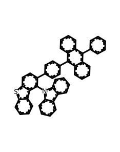 c1ccc(-c2c3ccccc3c(-c3ccc(-c4ccc5sc6ccccc6c5c4-n4c5ccccc5c5ccccc54)cc3)c3ccccc23)cc1